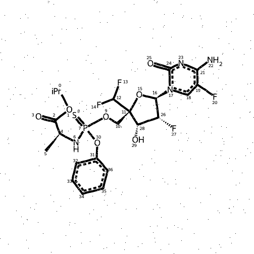 CC(C)OC(=O)[C@H](C)NP(=S)(OC[C@@]1(C(F)F)O[C@@H](n2cc(F)c(N)nc2=O)[C@H](F)[C@@H]1O)Oc1ccccc1